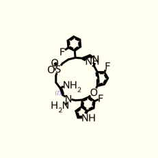 N/C1=C\N(N)Cc2c(c(F)cc3[nH]ccc23)Oc2ccc(F)c(c2)-c2ncc([nH]2)C(c2ccccc2F)CCS(=O)(=O)CC1